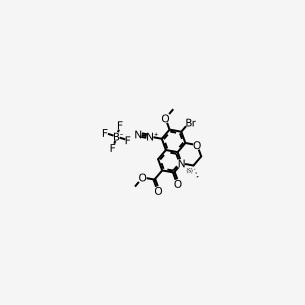 COC(=O)c1cc2c([N+]#N)c(OC)c(Br)c3c2n(c1=O)[C@@H](C)CO3.F[B-](F)(F)F